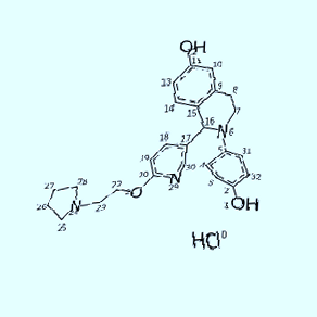 Cl.Oc1ccc(N2CCc3cc(O)ccc3C2c2ccc(OCCN3CCCC3)nc2)cc1